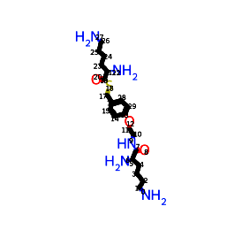 NCCCC[C@@H](N)C(=O)NCCOc1ccc(CSC(=O)[C@@H](N)CCCCN)cc1